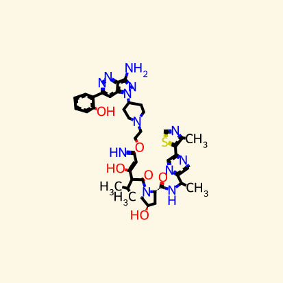 Cc1ncsc1-c1cnc(C(C)NC(=O)[C@@H]2C[C@@H](O)CN2C(=O)C(/C(O)=C/C(=N)OCCN2CCC(n3nc(N)c4nnc(-c5ccccc5O)cc43)CC2)C(C)C)cn1